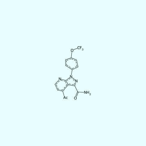 CC(=O)c1ccnc2c1c(C(N)=O)nn2-c1ccc(OC(F)(F)F)cc1